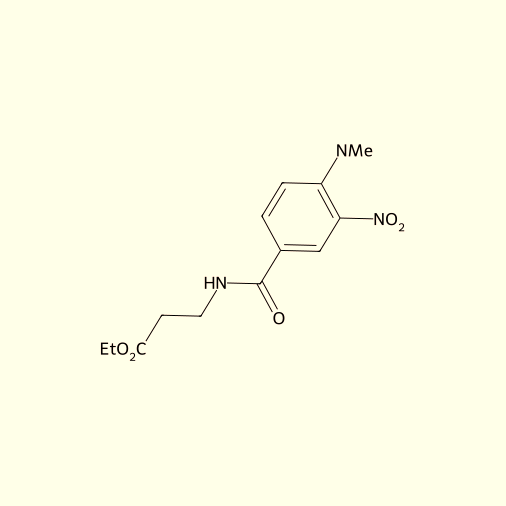 CCOC(=O)CCNC(=O)c1ccc(NC)c([N+](=O)[O-])c1